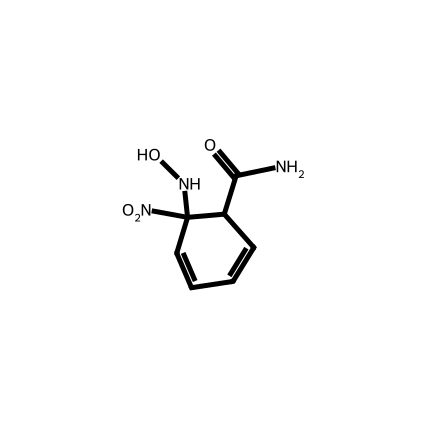 NC(=O)C1C=CC=CC1(NO)[N+](=O)[O-]